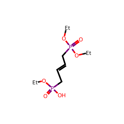 CCOP(=O)(O)C/C=C/CP(=O)(OCC)OCC